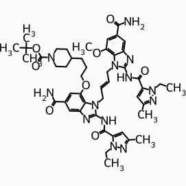 CCn1nc(C)cc1C(=O)Nc1nc2cc(C(N)=O)cc(OC)c2n1CC=CCn1c(NC(=O)c2cc(C)nn2CC)nc2cc(C(N)=O)cc(OCCCC3CCN(C(=O)OC(C)(C)C)CC3)c21